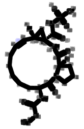 CC(C)(C)OC(=O)N[C@H]1CCCCC/C=C\[C@@H]2C[C@@]2(C(=O)NS(=O)(=O)C(F)(F)F)NC(=O)[C@@H]2CCCN2C1=O